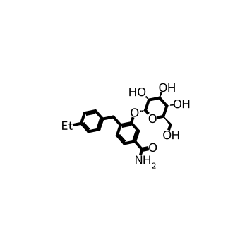 CCc1ccc(Cc2ccc(C(N)=O)cc2O[C@H]2O[C@H](CO)[C@@H](O)[C@H](O)[C@H]2O)cc1